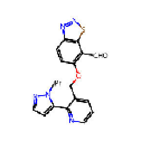 CC(C)n1nccc1-c1ncccc1COc1ccc2nnsc2c1C=O